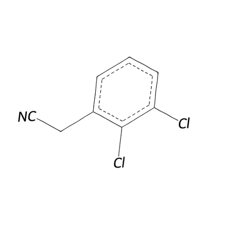 N#CCc1cccc(Cl)c1Cl